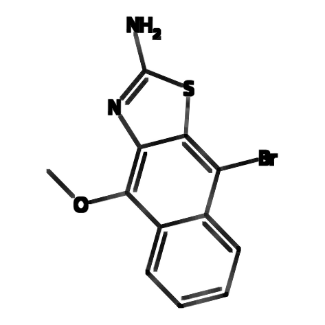 COc1c2ccccc2c(Br)c2sc(N)nc12